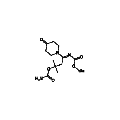 CC(C)(C)OC(=O)N=C(CC(C)(C)OC(N)=O)N1CCC(=O)CC1